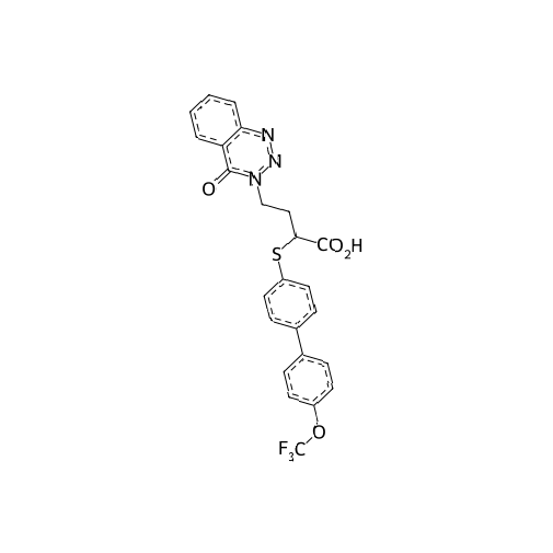 O=C(O)C(CCn1nnc2ccccc2c1=O)Sc1ccc(-c2ccc(OC(F)(F)F)cc2)cc1